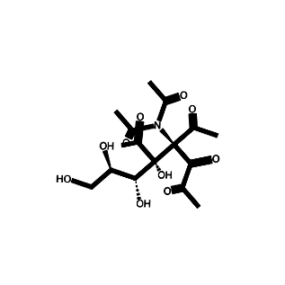 CC(=O)C(=O)[C@](C(C)=O)(N(C(C)=O)C(C)=O)[C@](O)(C(C)=O)[C@H](O)[C@H](O)CO